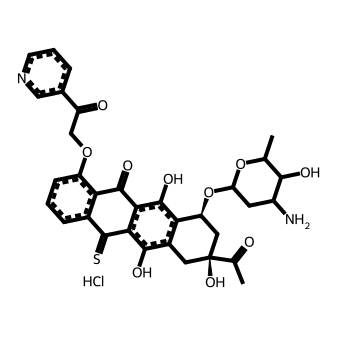 CC(=O)[C@]1(O)Cc2c(O)c3c(c(O)c2[C@@H](OC2CC(N)C(O)C(C)O2)C1)C(=O)c1c(OCC(=O)c2cccnc2)cccc1C3=S.Cl